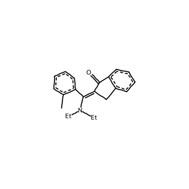 CCN(CC)C(=C1Cc2ccccc2C1=O)c1ccccc1C